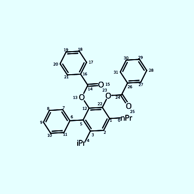 CCCc1cc(C(C)C)c(-c2ccccc2)c(OC(=O)c2ccccc2)c1OC(=O)c1ccccc1